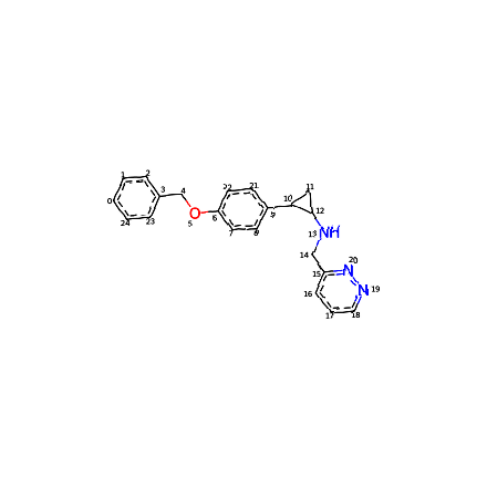 c1ccc(COc2ccc(C3CC3NCc3cccnn3)cc2)cc1